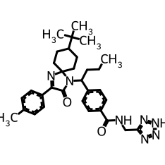 CCCC(c1ccc(C(=O)NCc2nn[nH]n2)cc1)N1C(=O)C(c2ccc(C)cc2)=NC12CCC(C(C)(C)C)CC2